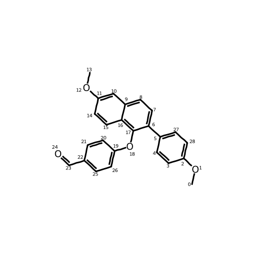 COc1ccc(-c2ccc3cc(OC)ccc3c2Oc2ccc(C=O)cc2)cc1